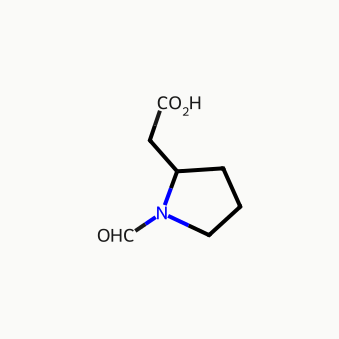 O=CN1CCCC1CC(=O)O